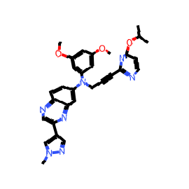 COc1cc(OC)cc(N(CC#Cc2nccc(OC(C)C)n2)c2ccc3ncc(-c4cnn(C)c4)nc3c2)c1